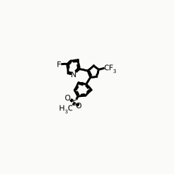 CS(=O)(=O)c1ccc(C2=C(c3ccc(F)cn3)CC(C(F)(F)F)C2)cc1